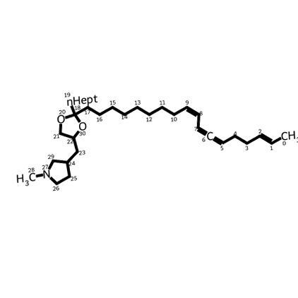 C/C=C/CCC=C=C/C=C\CCCCCCCCC1(CCCCCCC)OCC(CC2CCN(C)C2)O1